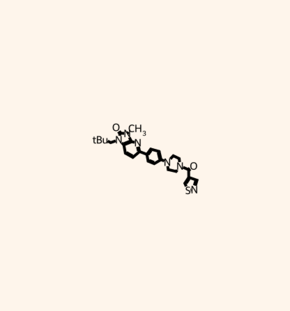 Cn1c(=O)n(CC(C)(C)C)c2ccc(-c3ccc(N4CCN(C(=O)c5cnsc5)CC4)cc3)nc21